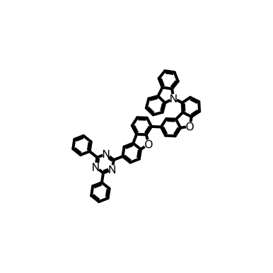 c1ccc(-c2nc(-c3ccccc3)nc(-c3ccc4oc5c(-c6ccc7oc8cccc(-n9c%10ccccc%10c%10ccccc%109)c8c7c6)cccc5c4c3)n2)cc1